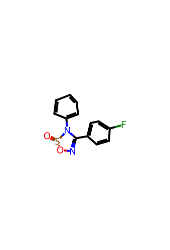 O=S1ON=C(c2ccc(F)cc2)N1c1ccccc1